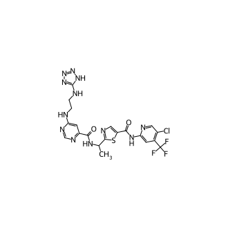 CC(NC(=O)c1cc(NCCNc2nnn[nH]2)ncn1)c1ncc(C(=O)Nc2cc(C(F)(F)F)c(Cl)cn2)s1